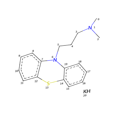 CN(C)CCCN1c2ccccc2Sc2ccccc21.[KH]